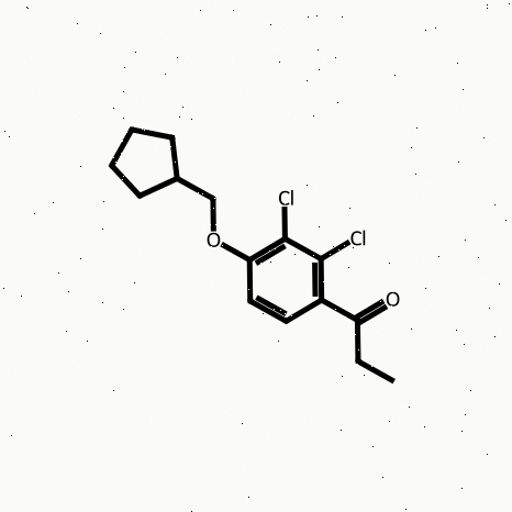 CCC(=O)c1ccc(OCC2CCCC2)c(Cl)c1Cl